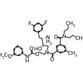 CCCN(CCC)C(=O)c1cc(C)cc(C(=O)N(CCOC(=O)Nc2cccc(OC)c2)C[C@@H](O)[C@@H](N)Cc2cc(F)cc(F)c2)c1